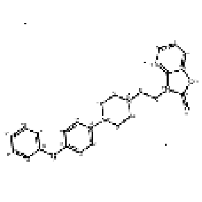 O=c1oc2cccnc2n1CCN1CCN(c2ccc(Oc3ccccc3)cc2)CC1